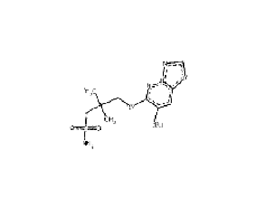 CC(C)(COc1nn2ncnc2cc1C(C)(C)C)CS(N)(=O)=O